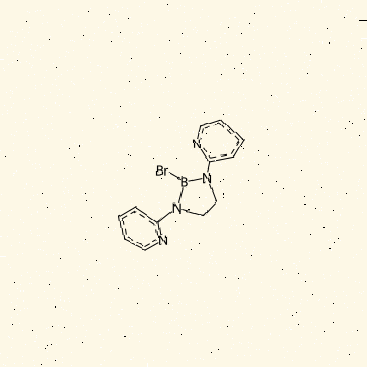 BrB1N(c2ccccn2)CCN1c1ccccn1